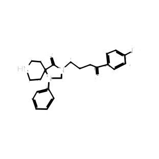 O=C(CCCN1CN(c2ccccc2)C2(CCNCC2)C1=O)c1ccc(F)cc1